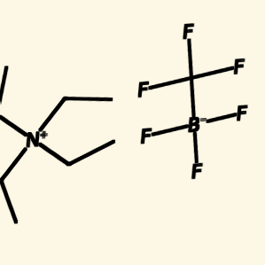 CC[N+](CC)(CC)CC.F[B-](F)(F)C(F)(F)F